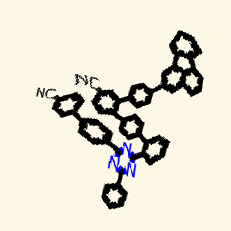 N#Cc1ccc(-c2ccc(-c3nc(-c4ccccc4)nc(-c4ccccc4-c4ccc(-c5ccc(C#N)cc5-c5ccc(-c6cc7c8c(cccc8c6)-c6ccccc6-7)cc5)cc4)n3)cc2)cc1